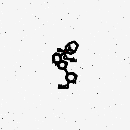 COc1cc(-c2cc3c(N4CC5CCC(C4)N5C(=O)OC(C)(C)C)ccnn3c2)ccn1